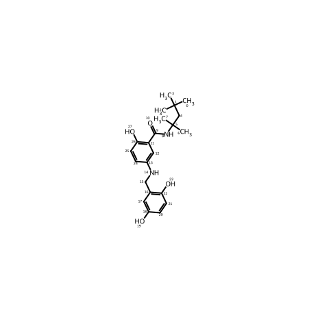 CC(C)(C)CC(C)(C)NC(=O)c1cc(NCc2cc(O)ccc2O)ccc1O